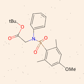 COc1cc(C)c(S(=O)(=O)N(CC(=O)OC(C)(C)C)c2ccccc2)c(C)c1